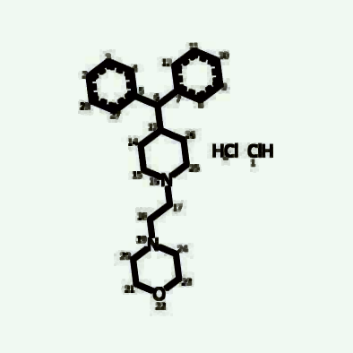 Cl.Cl.c1ccc(C(c2ccccc2)C2CCN(CCN3CCOCC3)CC2)cc1